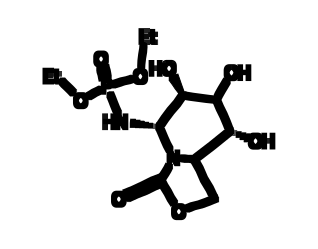 CCOP(=O)(N[C@@H]1[C@@H](O)C(O)[C@H](O)C2COC(=O)N21)OCC